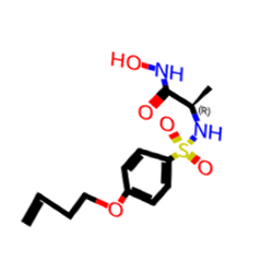 C=CCCOc1ccc(S(=O)(=O)N[C@H](C)C(=O)NO)cc1